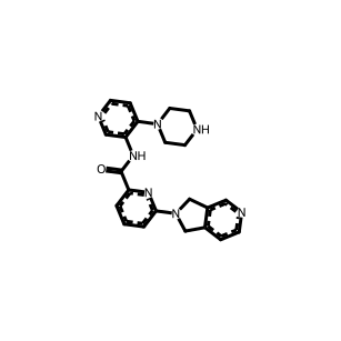 O=C(Nc1cnccc1N1CCNCC1)c1cccc(N2Cc3ccncc3C2)n1